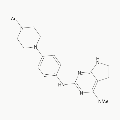 CNc1nc(Nc2ccc(N3CCN(C(C)=O)CC3)cc2)nc2[nH]ccc12